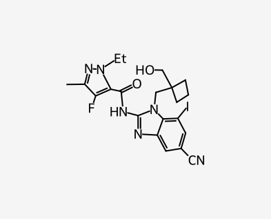 CCn1nc(C)c(F)c1C(=O)Nc1nc2cc(C#N)cc(I)c2n1CC1(CO)CCC1